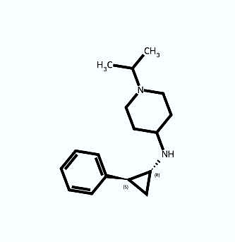 CC(C)N1CCC(N[C@@H]2C[C@H]2c2ccccc2)CC1